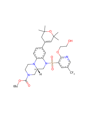 CC(C)(C)OC(=O)N1CCN2c3ccc(C4=CC(C)(C)OC(C)(C)C4)cc3N(S(=O)(=O)c3cc(C(F)(F)F)cnc3OCCO)C[C@@H]2C1